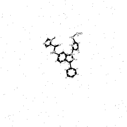 Cn1cncc1C(=O)Nc1ccc2c(-c3ccccc3)nn(-c3nc(OC=O)cs3)c2c1